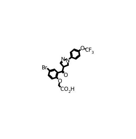 O=C(O)COc1ccc(Br)cc1C(=O)C1C=NN(c2ccc(OC(F)(F)F)cc2)C1